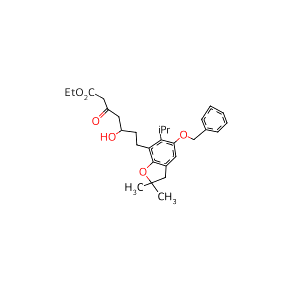 CCOC(=O)CC(=O)CC(O)CCc1c2c(cc(OCc3ccccc3)c1C(C)C)CC(C)(C)O2